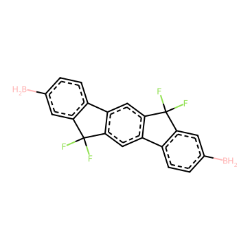 Bc1ccc2c(c1)C(F)(F)c1cc3c(cc1-2)C(F)(F)c1cc(B)ccc1-3